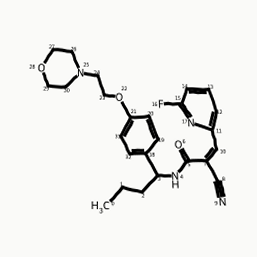 CCCC(NC(=O)C(C#N)=Cc1cccc(F)n1)c1ccc(OCCN2CCOCC2)cc1